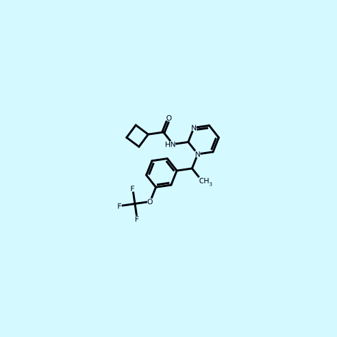 CC(c1cccc(OC(F)(F)F)c1)N1C=CC=NC1NC(=O)C1CCC1